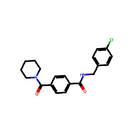 O=C(NCc1ccc(Cl)cc1)c1ccc(C(=O)N2CCCCC2)cc1